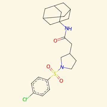 O=C(CC1CCN(S(=O)(=O)c2ccc(Cl)cc2)C1)NC12CC3CC(CC(C3)C1)C2